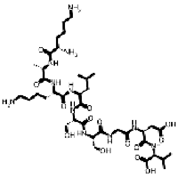 CC(C)C[C@H](NC(=O)[C@H](CCCCN)NC(=O)[C@H](C)NC(=O)[C@@H](N)CCCCN)C(=O)N[C@@H](CO)C(=O)N[C@@H](CO)C(=O)NCC(=O)N[C@@H](CC(=O)O)C(=O)N[C@H](C(=O)O)C(C)C